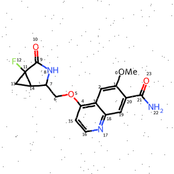 COc1cc2c(OCC3NC(=O)C4(F)CC34)ccnc2cc1C(N)=O